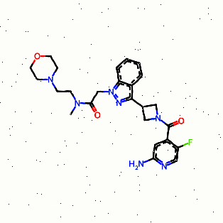 CN(CCN1CCOCC1)C(=O)Cn1nc(C2CN(C(=O)c3cc(N)ncc3F)C2)c2ccccc21